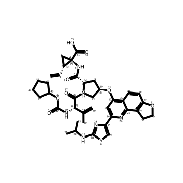 C=C[C@@H]1C[C@]1(NC(=O)[C@@H]1C[C@@H](Oc2cc(-c3csc(NC(C)C)n3)nc3c4c(ccc23)OCC4)CN1C(=O)[C@@H](NC(=O)OC1CCCC1)C(=C)C)C(=O)O